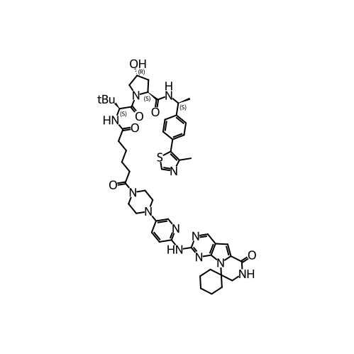 Cc1ncsc1-c1ccc([C@H](C)NC(=O)[C@@H]2C[C@@H](O)CN2C(=O)[C@@H](NC(=O)CCCCC(=O)N2CCN(c3ccc(Nc4ncc5cc6n(c5n4)C4(CCCCC4)CNC6=O)nc3)CC2)C(C)(C)C)cc1